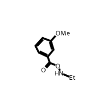 CCNOC(=O)c1cccc(OC)c1